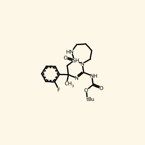 CC(C)(C)OC(=O)NC1=NC(C)(c2ccccc2F)C[SH]2(=O)NCCCCN12